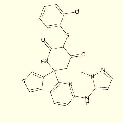 Cn1nccc1Nc1cccc(C2(c3ccsc3)CC(=O)C(Sc3ccccc3Cl)C(=O)N2)n1